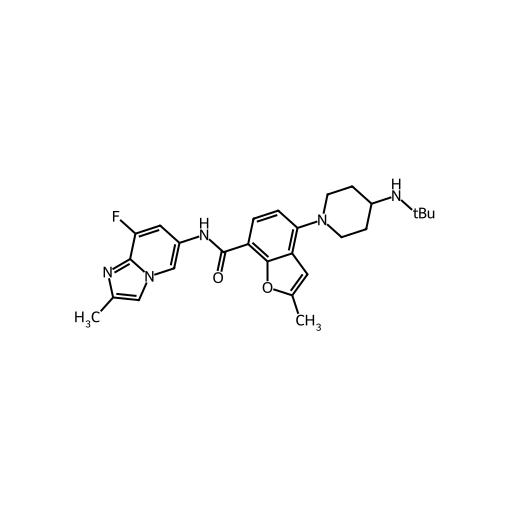 Cc1cn2cc(NC(=O)c3ccc(N4CCC(NC(C)(C)C)CC4)c4cc(C)oc34)cc(F)c2n1